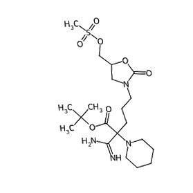 CC(C)(C)OC(=O)C(CCCN1CC(COS(C)(=O)=O)OC1=O)(C(=N)N)N1CCCCC1